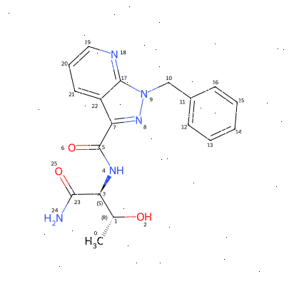 C[C@@H](O)[C@H](NC(=O)c1nn(Cc2ccccc2)c2ncccc12)C(N)=O